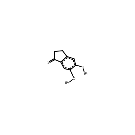 CC(C)Oc1cc2c(cc1OC(C)C)C(=O)CC2